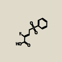 O=C(O)C(F)=CCS(=O)(=O)c1ccccc1